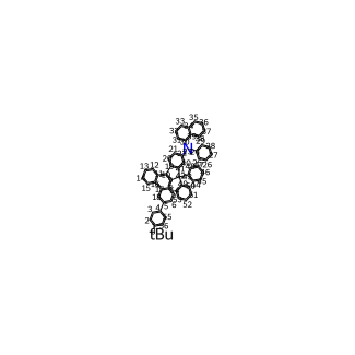 CC(C)(C)c1ccc(-c2ccc3c4c(c5ccccc5c3c2)-c2ccc(N(c3ccccc3)c3cccc5ccccc35)cc2C4(c2ccccc2)c2ccccc2)cc1